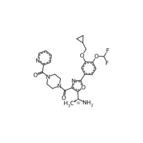 C[C@H](N)c1oc(-c2ccc(OC(F)F)c(OCC3CC3)c2)nc1C(=O)N1CCN(C(=O)c2ccccn2)CC1